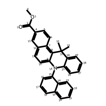 COC(=O)c1ccc2c3c(ccc2c1)N(c1cccc2ccccc12)c1ccccc1C3(C)C